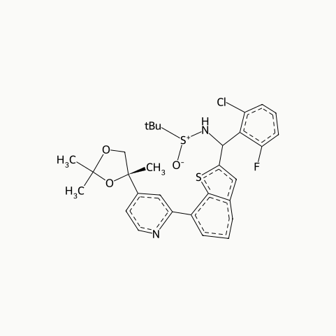 CC1(C)OC[C@](C)(c2ccnc(-c3cccc4cc(C(N[S+]([O-])C(C)(C)C)c5c(F)cccc5Cl)sc34)c2)O1